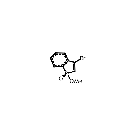 COP1(=O)C=C(Br)c2ccccc21